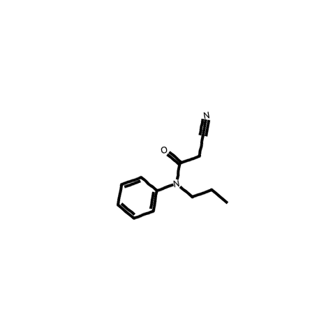 CCCN(C(=O)CC#N)c1ccccc1